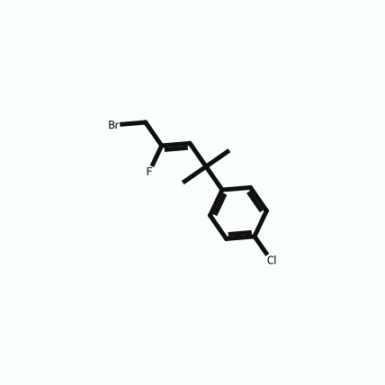 CC(C)(/C=C(\F)CBr)c1ccc(Cl)cc1